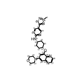 Cn1nnc(-c2cnc(N[C@H]3CC[C@@H](Oc4cc(N5CCOCC5)cc5nccnc45)CC3)nc2)n1